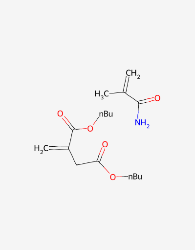 C=C(C)C(N)=O.C=C(CC(=O)OCCCC)C(=O)OCCCC